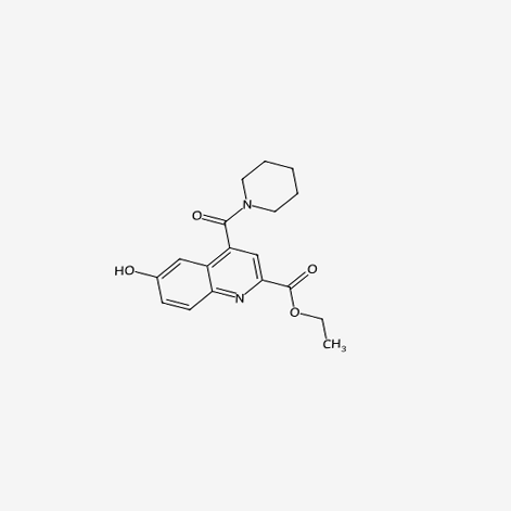 CCOC(=O)c1cc(C(=O)N2CCCCC2)c2cc(O)ccc2n1